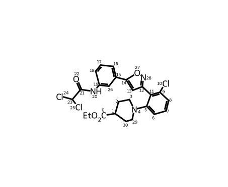 CCOC(=O)C1CCN(c2cccc(Cl)c2-c2cc(-c3cccc(NC(=O)C(Cl)Cl)c3)on2)CC1